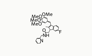 COC1=CC(=CC2=C(C)C(CC(=O)NCc3ccccn3)c3cc(F)ccc32)C=C(OC)C1(OC)OC